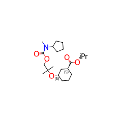 CC(C)OC(=O)[C@H]1CCC[C@H](OC(C)(C)COC(=O)N(C)C2CCCC2)C1